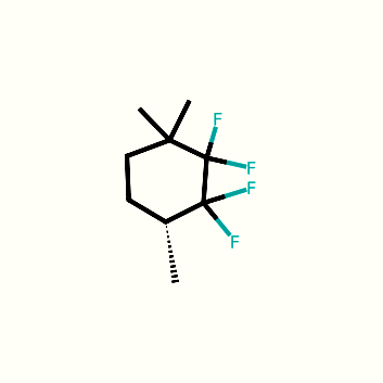 C[C@@H]1CCC(C)(C)C(F)(F)C1(F)F